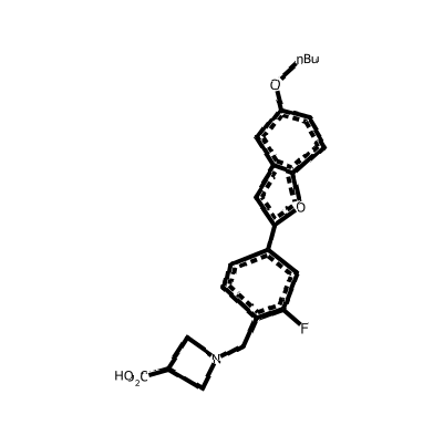 CCCCOc1ccc2oc(-c3ccc(CN4CC(C(=O)O)C4)c(F)c3)cc2c1